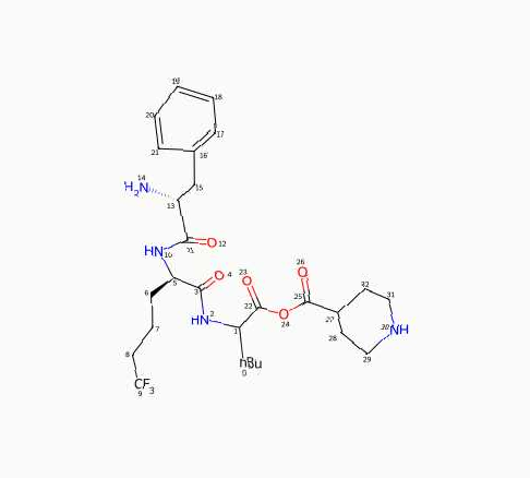 CCCCC(NC(=O)[C@@H](CCCC(F)(F)F)NC(=O)[C@H](N)Cc1ccccc1)C(=O)OC(=O)C1CCNCC1